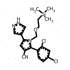 C[Si](C)(C)CCOCn1c(-c2cn[nH]c2)cc(C#N)c1-c1ccc(Cl)cc1Cl